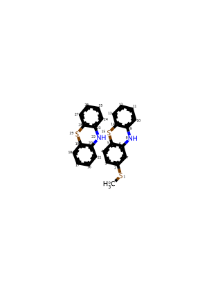 CSc1ccc2c(c1)Nc1ccccc1S2.c1ccc2c(c1)Nc1ccccc1S2